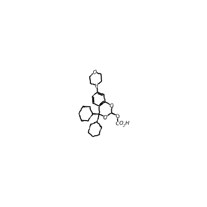 O=C(O)OC1Oc2cc(N3CCOCC3)ccc2C(C2CCCCC2)(C2CCCCC2)O1